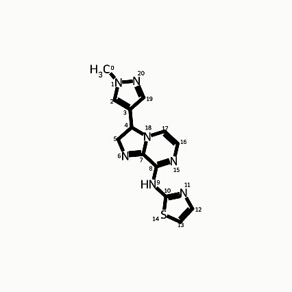 Cn1cc(C2CN=C3C(Nc4nccs4)=NC=CN32)cn1